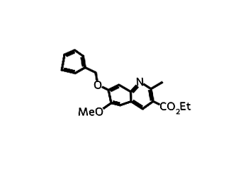 CCOC(=O)c1cc2cc(OC)c(OCc3ccccc3)cc2nc1C